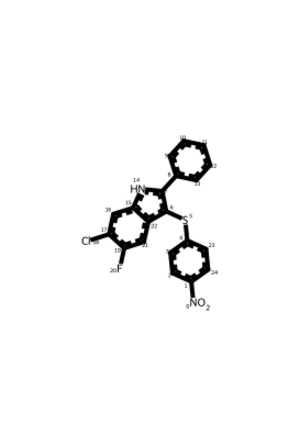 O=[N+]([O-])c1ccc(Sc2c(-c3ccccc3)[nH]c3cc(Cl)c(F)cc23)cc1